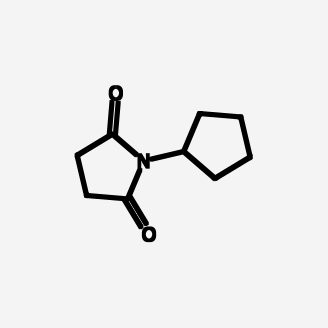 O=C1CCC(=O)N1C1CCCC1